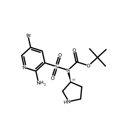 CC(C)(C)OC(=O)N([C@H]1CCNC1)S(=O)(=O)c1cc(Br)cnc1N